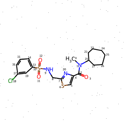 CN(C(=O)c1csc(CNS(=O)(=O)c2cccc(Cl)c2)n1)C1CCCCCC1